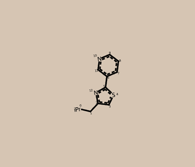 CC(C)Cc1csc(-c2cccnc2)n1